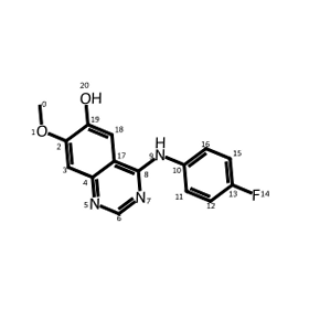 COc1cc2ncnc(Nc3ccc(F)cc3)c2cc1O